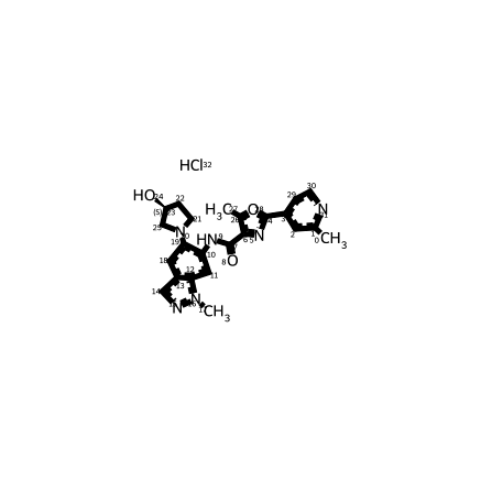 Cc1cc(-c2nc(C(=O)Nc3cc4c(cnn4C)cc3N3CC[C@H](O)C3)c(C)o2)ccn1.Cl